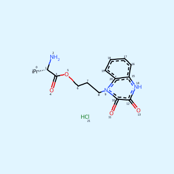 CC(C)[C@H](N)C(=O)OCCCn1c(=O)c(=O)[nH]c2ccccc21.Cl